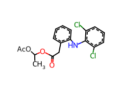 CC(=O)OC(C)OC(=O)Cc1ccccc1Nc1c(Cl)cccc1Cl